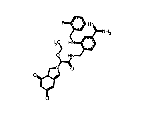 CCOC(C(=O)NCc1ccc(C(=N)N)cc1NCc1ccccc1F)N1C=C2C=C(Cl)CC(=O)C2C1